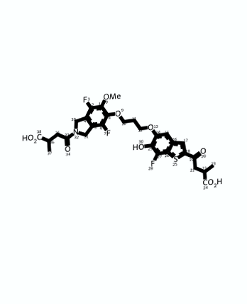 COc1c(F)c2c(c(F)c1OCCCOc1cc3cc(C(=O)CC(C)C(=O)O)sc3c(F)c1O)CN(C(=O)CC(C)C(=O)O)C2